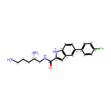 NCCC[C@H](N)CNC(=O)c1cc2cc(-c3ccc(F)cc3)ccc2[nH]1